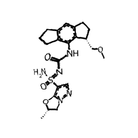 COC[C@H]1CCc2cc3c(c(NC(=O)N=[S@](N)(=O)c4cnn5c4O[C@@H](C)C5)c21)CCC3